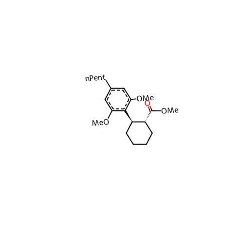 CCCCCc1cc(OC)c([C@@H]2CCCC[C@H]2C(=O)OC)c(OC)c1